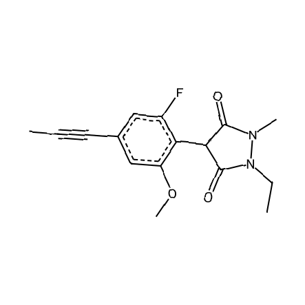 CC#Cc1cc(F)c(C2C(=O)N(C)N(CC)C2=O)c(OC)c1